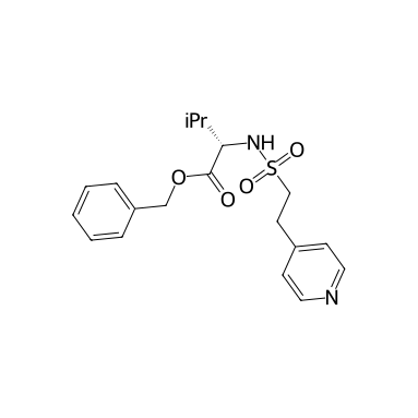 CC(C)[C@H](NS(=O)(=O)CCc1ccncc1)C(=O)OCc1ccccc1